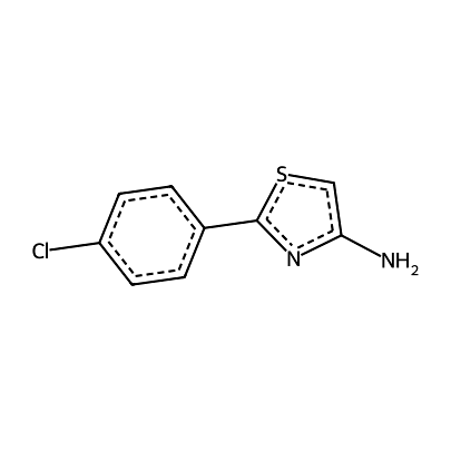 Nc1csc(-c2ccc(Cl)cc2)n1